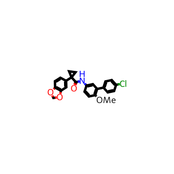 COc1ccc(NC(=O)C2(c3ccc4c(c3)OCO4)CC2)cc1-c1ccc(Cl)cc1